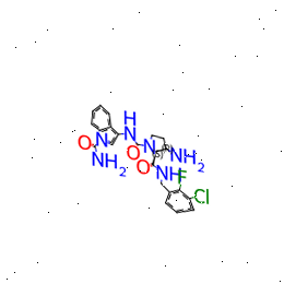 NC(=O)n1cc(NC(=O)N2CC[C@@H](N)[C@H]2C(=O)NCc2cccc(Cl)c2F)c2ccccc21